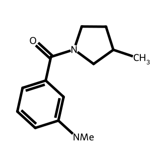 CNc1cccc(C(=O)N2CCC(C)C2)c1